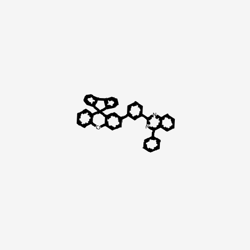 c1ccc(-c2nc(-c3cccc(-c4ccc5c(c4)C4(c6ccccc6O5)c5ccccc5-c5ccccc54)c3)nc3ccccc23)cc1